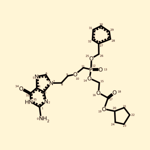 Nc1nc2c(ncn2CCOCP(=O)(OCOC(=O)OC2CCCC2)OCc2ccccc2)c(=O)[nH]1